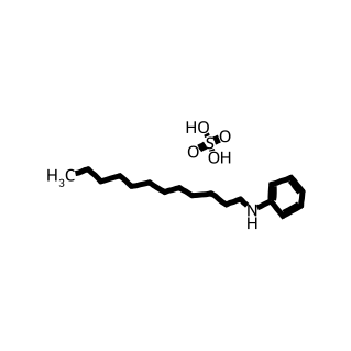 CCCCCCCCCCCCNc1ccccc1.O=S(=O)(O)O